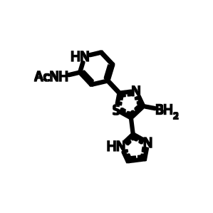 Bc1nc(C2=CCNC(NC(C)=O)=C2)sc1-c1ncc[nH]1